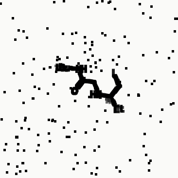 CC[C@H](CI)NCC(=O)NC(C)(C)C